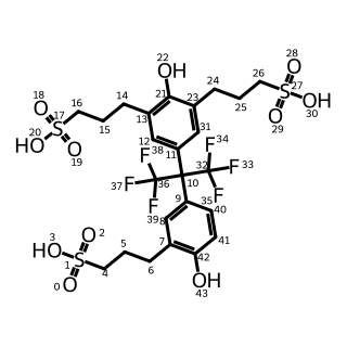 O=S(=O)(O)CCCc1cc(C(c2cc(CCCS(=O)(=O)O)c(O)c(CCCS(=O)(=O)O)c2)(C(F)(F)F)C(F)(F)F)ccc1O